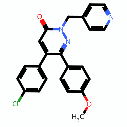 COc1ccc(-c2nn(Cc3ccncc3)c(=O)cc2-c2ccc(Cl)cc2)cc1